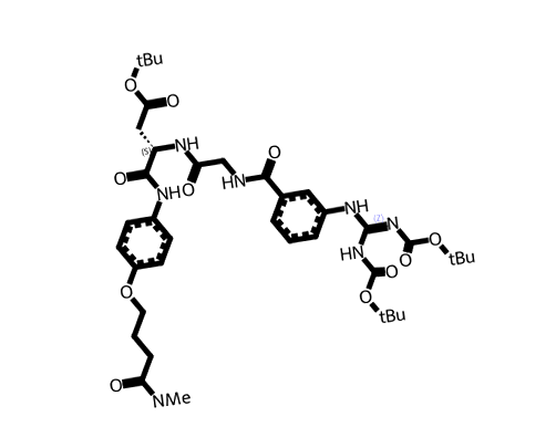 CNC(=O)CCCOc1ccc(NC(=O)[C@H](CC(=O)OC(C)(C)C)NC(=O)CNC(=O)c2cccc(N/C(=N/C(=O)OC(C)(C)C)NC(=O)OC(C)(C)C)c2)cc1